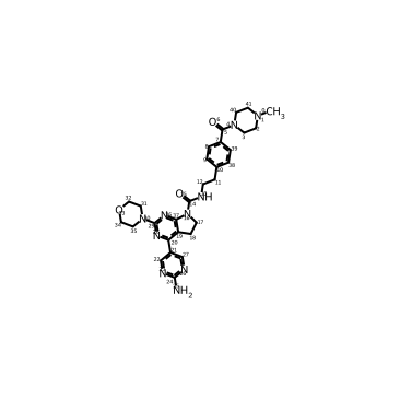 CN1CCN(C(=O)c2ccc(CCNC(=O)N3CCc4c(-c5cnc(N)nc5)nc(N5CCOCC5)nc43)cc2)CC1